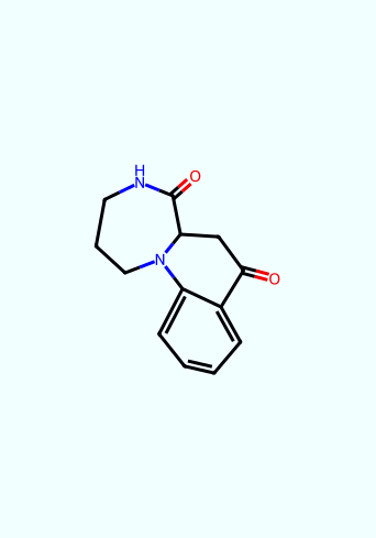 O=C1CC2C(=O)NCCCN2c2ccccc21